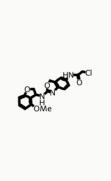 COc1cccc2c1C(NC1=Nc3ccc(NC(=O)CCl)cc3CO1)CO2